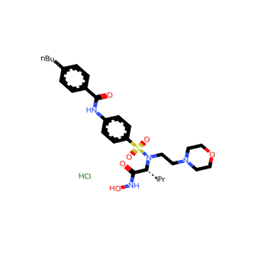 CCCCc1ccc(C(=O)Nc2ccc(S(=O)(=O)N(CCN3CCOCC3)[C@@H](C(=O)NO)C(C)C)cc2)cc1.Cl